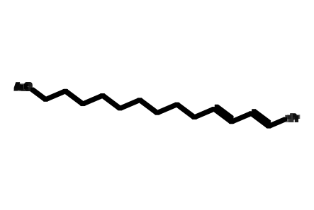 CCCC=CC=CCCCCCCCCCOC(C)=O